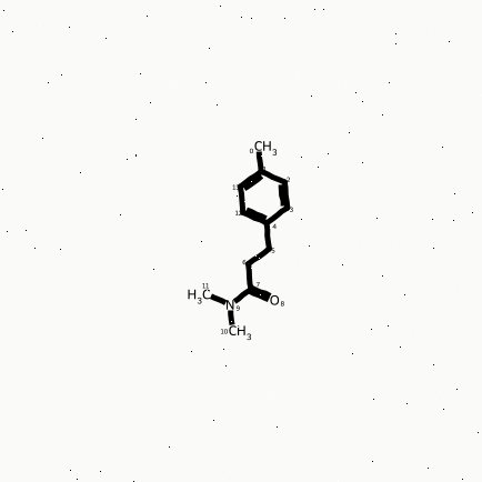 Cc1ccc(CCC(=O)N(C)C)cc1